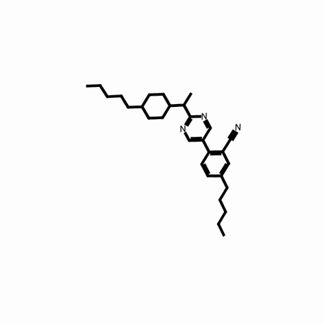 CCCCCc1ccc(-c2cnc(C(C)C3CCC(CCCCC)CC3)nc2)c(C#N)c1